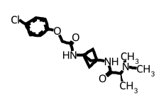 C[C@@H](C(=O)NC12CC(NC(=O)COc3ccc(Cl)cc3)(C1)C2)N(C)C